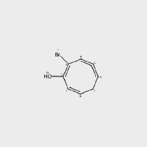 OC1=C(\Br)C=C=CC/C=C\1